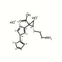 Cl.Cl.NCCC[C@H]1CC1(C(=O)O)c1cn(-c2cccs2)cn1